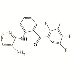 Cc1c(F)c(F)cc(C(=O)c2ccccc2Nc2ncccc2N)c1F